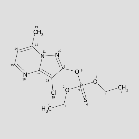 CCOP(=S)(OCC)Oc1nn2c(C)ccnc2c1Cl